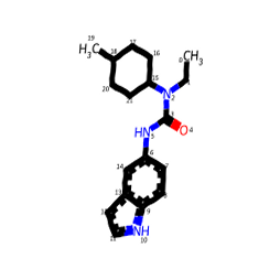 CCN(C(=O)Nc1ccc2[nH]ccc2c1)C1CCC(C)CC1